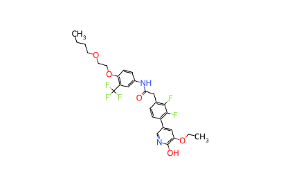 CCCCOCCOc1ccc(NC(=O)Cc2ccc(-c3cnc(O)c(OCC)c3)c(F)c2F)cc1C(F)(F)F